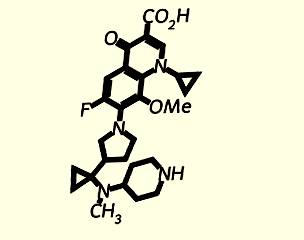 COc1c(N2CCC(C3(N(C)C4CCNCC4)CC3)C2)c(F)cc2c(=O)c(C(=O)O)cn(C3CC3)c12